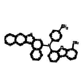 Cc1ccc(N(c2cc3sc4cc5ccccc5cc4c3c3ccccc23)c2cccc3c2oc2c(C(C)(C)C)cccc23)cc1